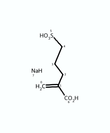 C=C(CCCS(=O)(=O)O)C(=O)O.[NaH]